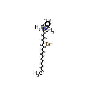 CCCCCCCCCCCCCCCCCCC[N+](C)(C)c1ccccc1.[Br-]